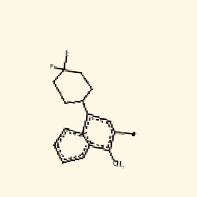 Cc1c(C(C)C)cc(C2CCC(F)(F)CC2)c2ccccc12